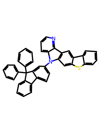 c1ccc(C2(c3ccccc3)c3ccccc3-c3ccc(-n4c5cc6sc7ccccc7c6cc5c5ncccc54)cc32)cc1